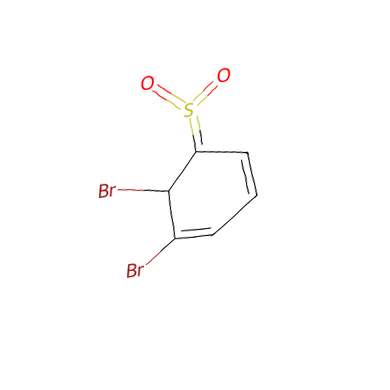 O=S(=O)=C1C=CC=C(Br)C1Br